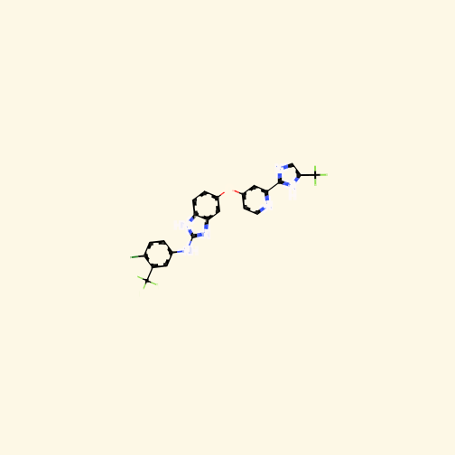 FC(F)(F)c1cnc(-c2cc(Oc3ccc4[nH]c(Nc5ccc(Cl)c(C(F)(F)F)c5)nc4c3)ccn2)[nH]1